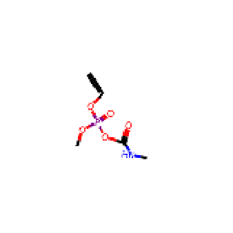 C=COP(=O)(OC)OC(=O)NC